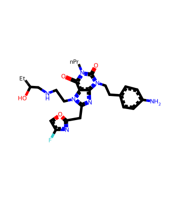 CCCn1c(=O)c2c(nc(Cc3nc(F)co3)n2CCNCC(O)CC)n(CCc2ccc(N)cc2)c1=O